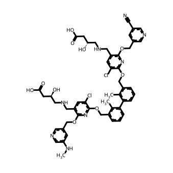 CNc1cncc(COc2nc(OCc3cccc(-c4cccc(COc5nc(OCc6cncc(C#N)c6)c(CNC[C@H](O)CC(=O)O)cc5Cl)c4C)c3C)c(Cl)cc2CNC[C@H](O)CC(=O)O)c1